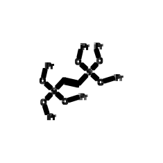 CC(C)O[Si](C=C[Si](OC(C)C)(OC(C)C)OC(C)C)(OC(C)C)OC(C)C